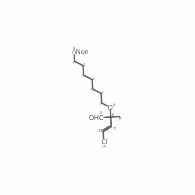 CCCCCCCCCCCCCCCCOC(C)(C=O)/C=C/Cl